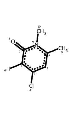 Cc1cc(Cl)c(I)c(=O)n1C